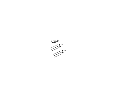 [C-]#C.[C-]#C.[Cu+2]